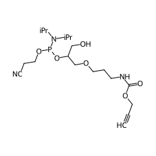 C#CCOC(=O)NCCCOCC(CO)OP(OCCC#N)N(C(C)C)C(C)C